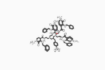 Cn1ccc(C(=O)NCCN(CCNC(=O)c2ccn(C)c(=O)c2OCc2ccccc2)CC(Cc2ccc([N+](=O)[O-])cc2)CN(CCNC(=O)c2ccn(C)c(=O)c2OCc2ccccc2)CCNC(=O)c2ccn(C)c(=O)c2OCc2ccccc2)c(OCc2ccccc2)c1=O